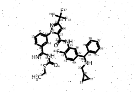 CCSC(=O)NC(=N)c1cccc(-n2nc(C(F)(F)F)cc2C(=O)Nc2cc(C(NCC3CC3)c3ccccc3)ccc2F)c1